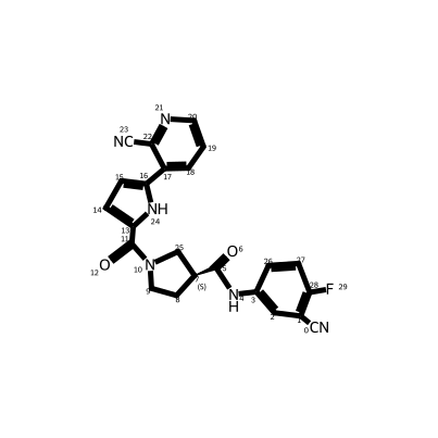 N#Cc1cc(NC(=O)[C@H]2CCN(C(=O)c3ccc(-c4cccnc4C#N)[nH]3)C2)ccc1F